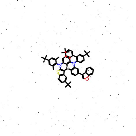 Cc1cc(C(C)(C)C)cc(C)c1N1c2cc(C(C)(C)C)cc3c2B(c2ccc(-c4coc5ccccc45)cc2N3c2ccc(C(C)(C)C)cc2-c2ccccc2)c2c1sc1ccc(C(C)(C)C)cc21